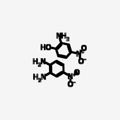 Nc1cc([N+](=O)[O-])ccc1O.Nc1ccc([N+](=O)[O-])cc1N